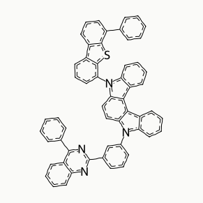 c1ccc(-c2nc(-c3cccc(-n4c5ccccc5c5c6c7ccccc7n(-c7cccc8c7sc7c(-c9ccccc9)cccc78)c6ccc54)c3)nc3ccccc23)cc1